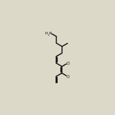 C=C/C(Cl)=C(Cl)\C=C/CC(C)CCN